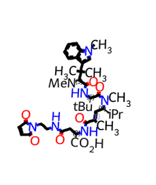 CN[C@H](C(=O)N[C@H](C(=O)N(C)[C@H](/C=C(\C)C(=O)N[C@H](CC(=O)NCCN1C(=O)C=CC1=O)C(=O)O)C(C)C)C(C)(C)C)C(C)(C)c1cn(C)c2ccccc12